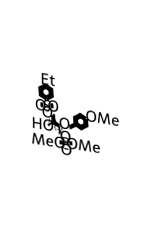 CCc1ccc(S(=O)(=O)OC[C@H](O)[C@H](COP(=O)(OC)OC)OCc2ccc(OC)cc2)cc1